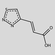 O=C(O)C=Cc1csnn1